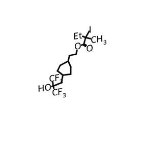 CCC(C)(I)C(=O)OCCC1CCC(CC(O)(C(F)(F)F)C(F)(F)F)CC1